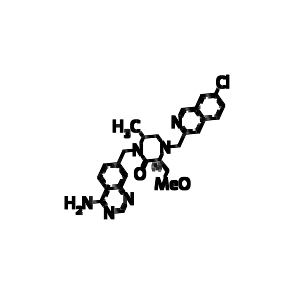 COC[C@H]1C(=O)N(Cc2ccc3c(N)ncnc3c2)C(C)CN1Cc1cc2ccc(Cl)cc2cn1